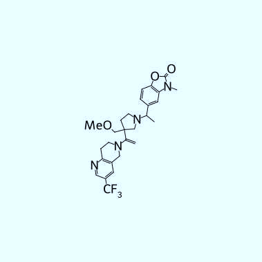 C=C(N1CCc2ncc(C(F)(F)F)cc2C1)C1(COC)CCN(C(C)c2ccc3oc(=O)n(C)c3c2)C1